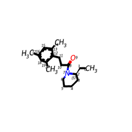 CC[C@H]1CCCCN1C(=O)CCc1c(C)cc(C)cc1C